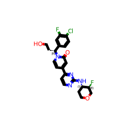 O=c1cc(-c2ccnc(N[C@H]3CCOC[C@@H]3F)n2)ccn1[C@H](CCO)c1ccc(Cl)c(F)c1